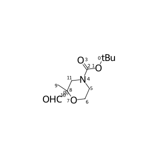 CC(C)(C)OC(=O)N1CCO[C@](C)(C=O)C1